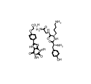 CCCn1c(=O)c2[nH]c(-c3ccc(OCC(=O)O)cc3)nc2n(CCC)c1=O.NCCCC[C@@H](NC(=O)[C@@H](N)Cc1ccc(O)cc1)C(=O)NCC(N)=O